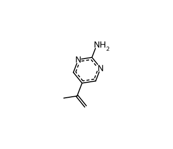 C=C(C)c1cnc(N)nc1